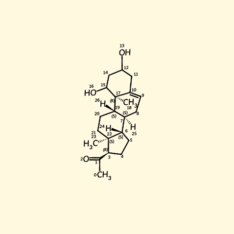 CC(=O)[C@@H]1CC[C@H]2[C@@H]3CC=C4CC(O)CC(O)[C@]4(C)[C@H]3CC[C@]12C